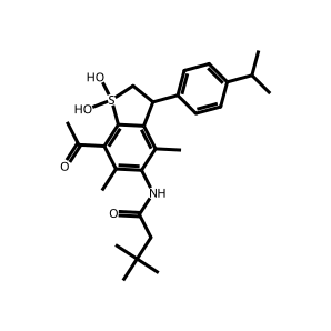 CC(=O)c1c(C)c(NC(=O)CC(C)(C)C)c(C)c2c1S(O)(O)CC2c1ccc(C(C)C)cc1